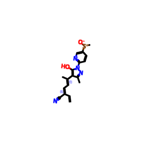 C=C/C(C#N)=C\C=C(/C)c1c(C)nn(-c2ccc([S+](C)[O-])cn2)c1O